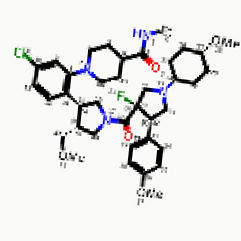 CCNC(=O)C1CCN(c2cc(Cl)ccc2[C@H]2CN(C(=O)[C@]3(F)CN([C@H]4CC[C@H](OC)CC4)C[C@H]3c3ccc(OC)cc3)C[C@@H]2COC)CC1